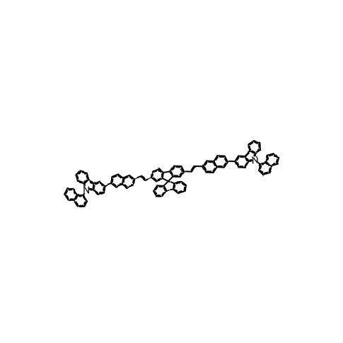 C(=C\c1ccc2cc(-c3ccc4c(c3)c3ccccc3n4-c3cccc4ccccc34)ccc2c1)/c1ccc2c(c1)C1(c3ccccc3-c3ccccc31)c1cc(/C=C/c3ccc4cc(-c5ccc6c(c5)c5ccccc5n6-c5cccc6ccccc56)ccc4c3)ccc1-2